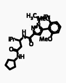 COc1cccc(OC)c1-c1cc(C(=O)NC(CC(=O)NC2CCCC2)C(C)C)nn1C(C)C(C)C